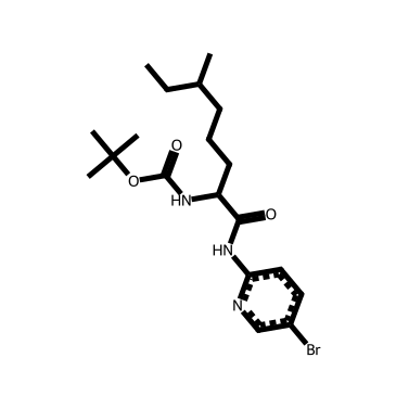 CCC(C)CCCC(NC(=O)OC(C)(C)C)C(=O)Nc1ccc(Br)cn1